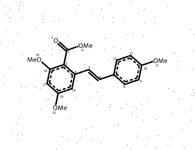 COC(=O)c1c(C=Cc2ccc(OC)cc2)cc(OC)cc1OC